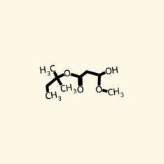 CCC(C)(C)OC(=O)CC(O)OC